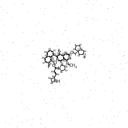 CN(c1nc(OC[C@@]23CCCN2C[C@H](F)C3)nc2c(F)c(-c3cccc4ccc(F)c(Cl)c34)ncc12)[C@@H]1CCN(C(=O)/C=C/C2CCN2)C1